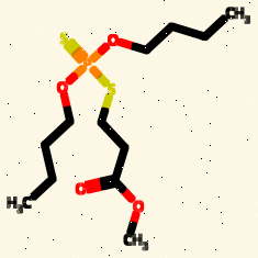 CCCCOP(=S)(OCCCC)SCCC(=O)OC